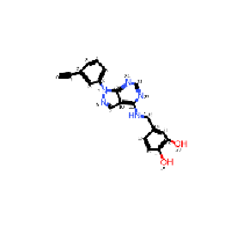 C#Cc1cccc(-n2ncc3c(NCc4ccc(O)c(O)c4)ncnc32)c1